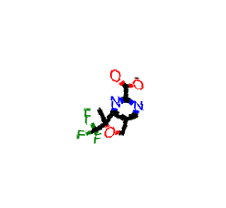 COC(=O)c1ncc2c(n1)C(C)(C(F)(F)F)OC2